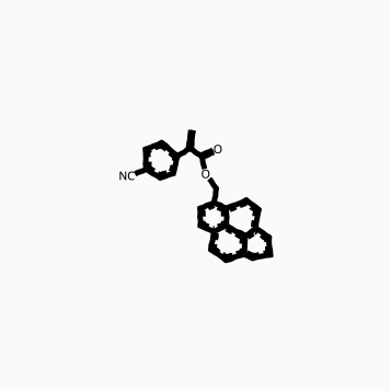 C=C(C(=O)OCc1ccc2ccc3cccc4ccc1c2c34)c1ccc(C#N)cc1